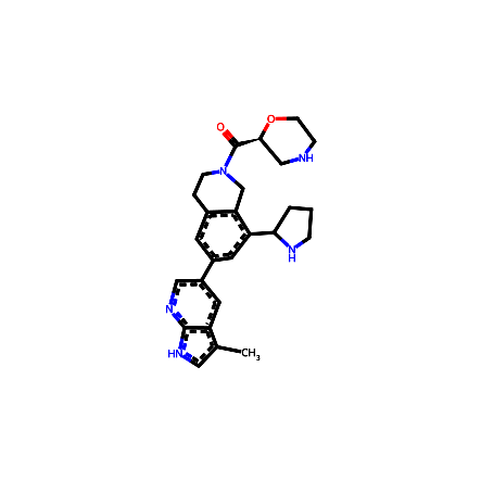 Cc1c[nH]c2ncc(-c3cc4c(c(C5CCCN5)c3)CN(C(=O)[C@@H]3CNCCO3)CC4)cc12